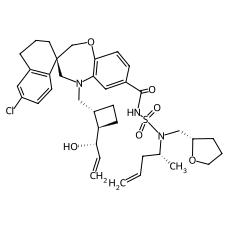 C=CC[C@@H](C)N(C[C@@H]1CCCO1)S(=O)(=O)NC(=O)c1ccc2c(c1)N(C[C@@H]1CC[C@H]1[C@@H](O)C=C)C[C@@]1(CCCc3cc(Cl)ccc31)CO2